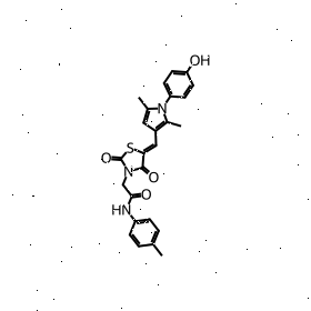 Cc1ccc(NC(=O)CN2C(=O)S/C(=C\c3cc(C)n(-c4ccc(O)cc4)c3C)C2=O)cc1